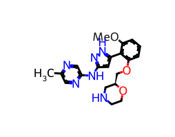 COc1cccc(OC[C@@H]2CNCCO2)c1-c1cc(Nc2cnc(C)cn2)n[nH]1